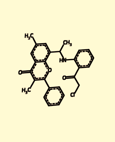 Cc1cc(C(C)Nc2ccccc2C(=O)CCl)c2oc(-c3ccccc3)c(C)c(=O)c2c1